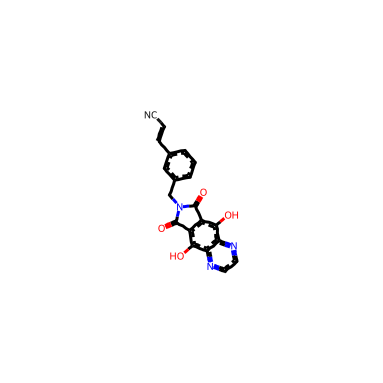 N#C/C=C/c1cccc(CN2C(=O)c3c(c(O)c4nccnc4c3O)C2=O)c1